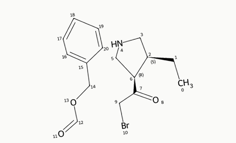 CC[C@@H]1CNC[C@@H]1C(=O)CBr.O=COCc1ccccc1